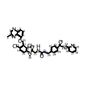 Cc1cnc2cccc(OCc3c(Cl)ccc(N(C)C(=O)CNC(=O)/C=C/c4ccc(C(=O)NCc5ccccn5)cc4)c3Cl)c2n1